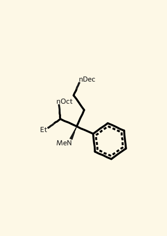 CCCCCCCCCCCC[C@](NC)(c1ccccc1)C(CC)CCCCCCCC